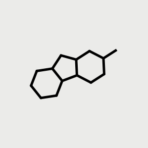 CC1CCC2C(C1)CC1CCCCC12